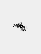 CN(C)/C=N\S(=O)(=O)c1cc(S(=O)(=O)/N=C/N(C)C)c(Cl)cc1N